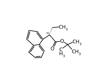 CC[C@H](C(=O)OC(C)(C)C)c1cccc2ccccc12